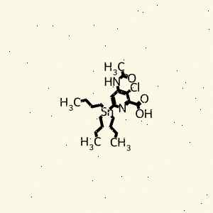 CCC[CH2][Sn]([CH2]CCC)([CH2]CCC)[c]1cc(NC(C)=O)c(Cl)c(C(=O)O)n1